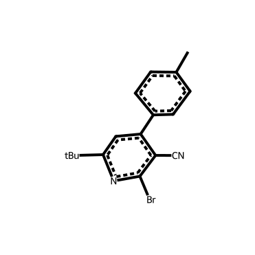 Cc1ccc(-c2cc(C(C)(C)C)nc(Br)c2C#N)cc1